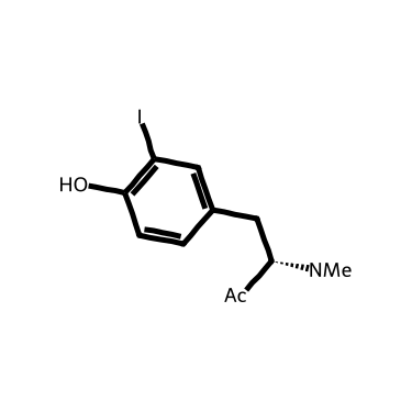 CN[C@@H](Cc1ccc(O)c(I)c1)C(C)=O